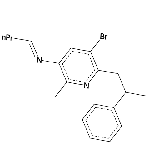 CCC/C=N/c1cc(Br)c(CC(C)c2ccccc2)nc1C